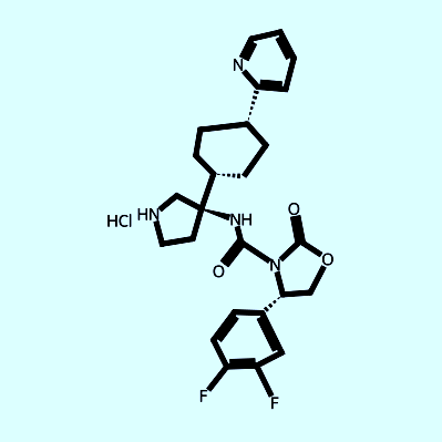 Cl.O=C(N[C@@]1([C@H]2CC[C@@H](c3ccccn3)CC2)CCNC1)N1C(=O)OC[C@@H]1c1ccc(F)c(F)c1